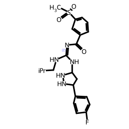 CC(C)CN/C(=N/C(=O)c1cccc(S(C)(=O)=O)c1)NC1CC(c2ccc(F)cc2)NN1